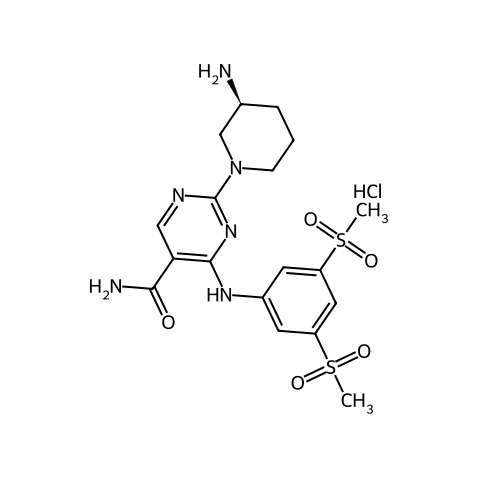 CS(=O)(=O)c1cc(Nc2nc(N3CCC[C@H](N)C3)ncc2C(N)=O)cc(S(C)(=O)=O)c1.Cl